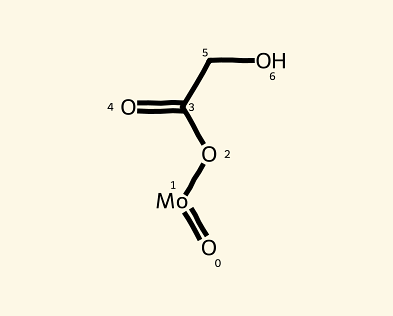 [O]=[Mo][O]C(=O)CO